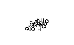 CCC(NC(=O)c1cccc2cc3ccccc3nc12)C1CNCCN1C(CC)NC(=O)c1cccc2cc3ccccc3nc12